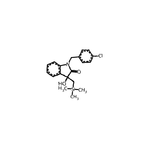 C[Si](C)(C)CC1(O)C(=O)N(Cc2ccc(Cl)cc2)c2ccccc21